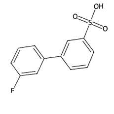 O=S(=O)(O)c1cccc(-c2cccc(F)c2)c1